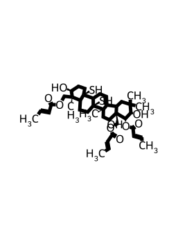 C/C=C/C(=O)OC[C@@]12C(CC(C)(C)[C@@H](O)[C@@H]1OC(=O)/C=C/C)C1=CCC3[C@@]4(S)CC[C@H](O)[C@](C)(COC(=O)/C=C/C)C4CC[C@@]3(S)[C@]1(C)C[C@H]2O